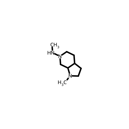 CNN1CCC2CCN(C)C2C1